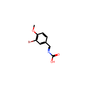 COc1ccc(/C=N/C(=O)O)cc1Br